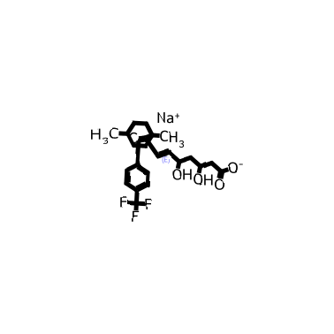 CC12CCC(C)(CC1)C(/C=C/C(O)CC(O)CC(=O)[O-])=C(c1ccc(C(F)(F)F)cc1)C2.[Na+]